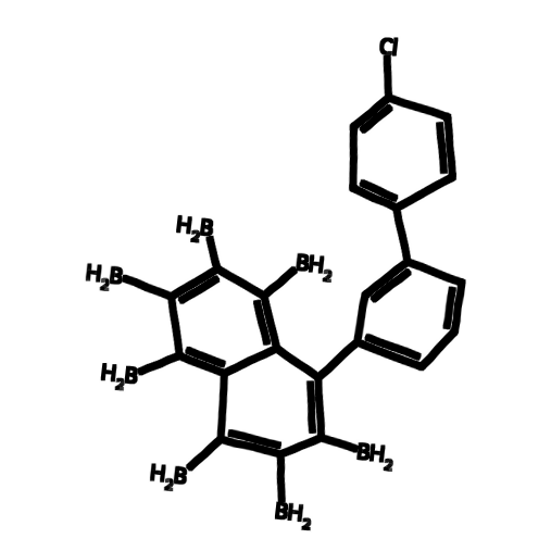 Bc1c(B)c(B)c2c(-c3cccc(-c4ccc(Cl)cc4)c3)c(B)c(B)c(B)c2c1B